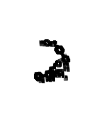 CCCCCCCCc1ccc([C@H]2CCN[C@@H]2COCCCc2cc(-c3ccccn3)nnc2C)cc1.Cl